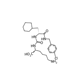 NCCCC[C@H](NC(=O)N[C@H](CC1CCCCC1)C(=O)NCc1ccc(Cl)cc1)C(=O)O